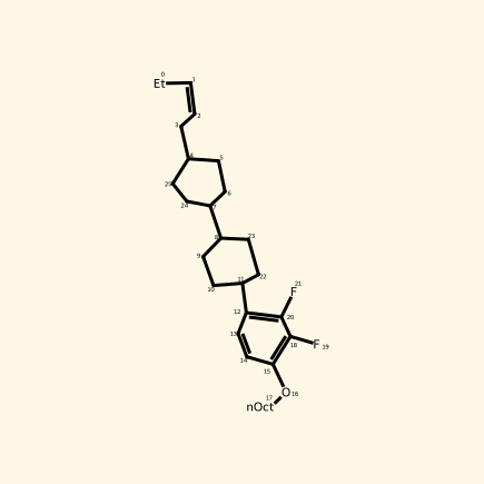 CC/C=C\CC1CCC(C2CCC(c3ccc(OCCCCCCCC)c(F)c3F)CC2)CC1